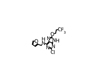 FC(F)(F)CCOc1nc2c(NCc3ccco3)nc(Cl)nc2[nH]1